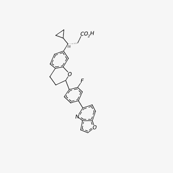 O=C(O)C[C@H](c1ccc2c(c1)OC(c1ccc(-c3ccc4occc4n3)cc1F)CC2)C1CC1